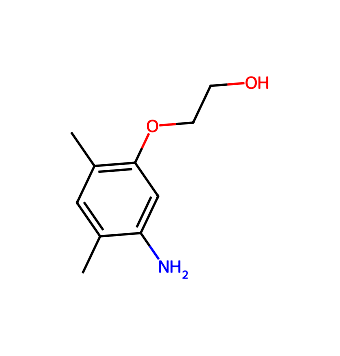 Cc1cc(C)c(OCCO)cc1N